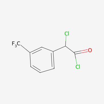 O=C(Cl)C(Cl)c1cccc(C(F)(F)F)c1